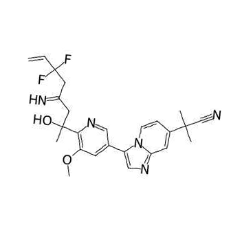 C=CC(F)(F)CC(=N)CC(C)(O)c1ncc(-c2cnc3cc(C(C)(C)C#N)ccn23)cc1OC